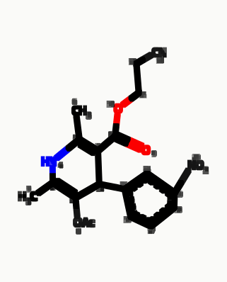 CC(=O)OC1=C(C)NC(C)=C(C(=O)OCCC#N)C1c1cccc([N+](=O)[O-])c1